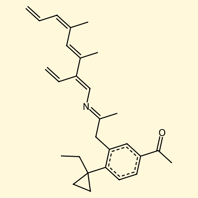 C=C\C=C(C)/C=C(C)/C(C=C)=C/N=C(\C)Cc1cc(C(C)=O)ccc1C1(CC)CC1